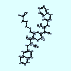 CC(=O)OCCCC[C@H]1CN(C(=O)[C@H](N)Cc2ccc3ccccc3c2)[C@H](C)CN1C(=O)[C@H](N)Cc1ccc2ccccc2c1